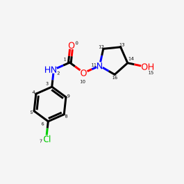 O=C(Nc1ccc(Cl)cc1)ON1CCC(O)C1